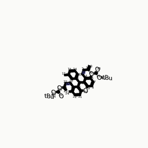 C=C(/C=C\c1c(C)ccc2c1C(c1cccc(C)c1)c1c(ccc(C)c1/C=C\C(=C)OC(=O)OC(C)(C)C)O2)OC(=O)OC(C)(C)C